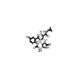 CC(C)OC(=O)Nc1ccc(Cl)cc1C(=O)N[C@@H](C[C@@H]1C[C@@H](C)NC1=O)C(O)C(=O)NC1CC1